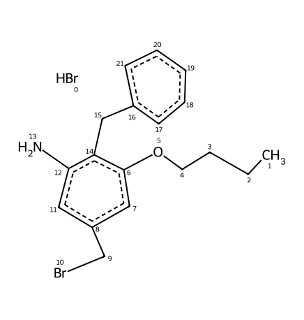 Br.CCCCOc1cc(CBr)cc(N)c1Cc1ccccc1